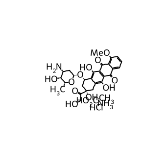 CC(=O)O.COc1cccc2c1C(=O)c1c(O)c3c(c(O)c1C2=O)C[C@@](O)(C(=O)CO)C[C@@H]3O[C@H]1C[C@H](N)[C@H](O)[C@H](C)O1.Cl.N